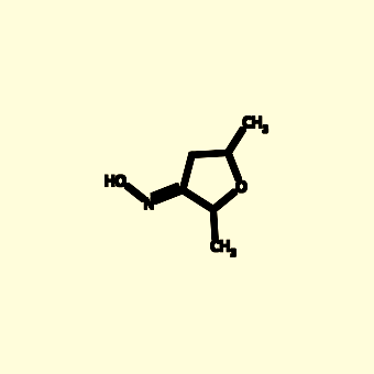 CC1CC(=NO)C(C)O1